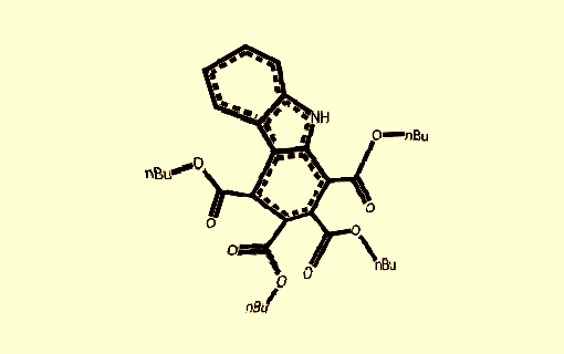 CCCCOC(=O)c1c(C(=O)OCCCC)c(C(=O)OCCCC)c2c([nH]c3ccccc32)c1C(=O)OCCCC